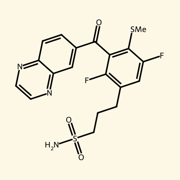 CSc1c(F)cc(CCCS(N)(=O)=O)c(F)c1C(=O)c1ccc2nccnc2c1